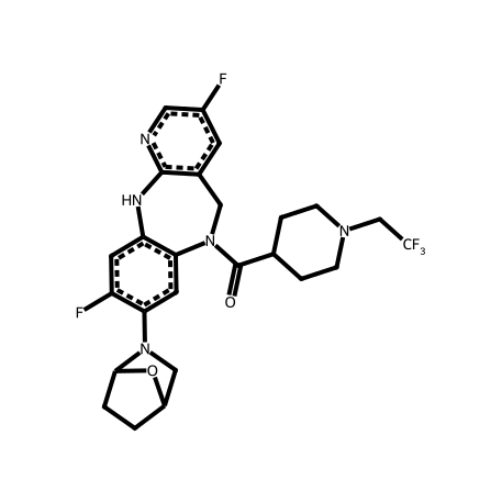 O=C(C1CCN(CC(F)(F)F)CC1)N1Cc2cc(F)cnc2Nc2cc(F)c(N3CC4CCC3O4)cc21